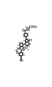 COC1CN(C(=O)c2ccc(-c3cc4c(-c5cccc(N6CCOc7cc(C8CC8)ccc7C6=O)c5C)ncnc4[nH]3)cc2)C1